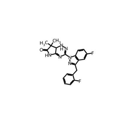 CC1(C)C(=O)NC2=NC(n3nc(Cc4ccccc4F)c4cc(F)ccc43)=NNC21